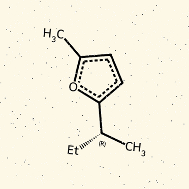 CC[C@@H](C)c1ccc(C)o1